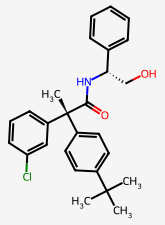 CC(C)(C)c1ccc([C@@](C)(C(=O)N[C@@H](CO)c2ccccc2)c2cccc(Cl)c2)cc1